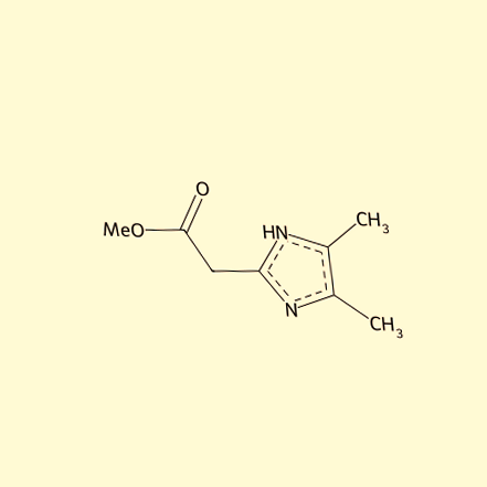 COC(=O)Cc1nc(C)c(C)[nH]1